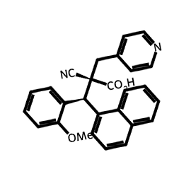 COc1ccccc1[C@H](c1cccc2ccccc12)[C@](C#N)(Cc1ccncc1)C(=O)O